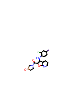 O=C(c1oc2ncccc2c1Nc1ccc(I)cc1F)N1CC[S+]([O-])C1